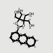 OCC1(CO)OB(c2cccc3cc4ccccc4cc23)OC1(CO)CO